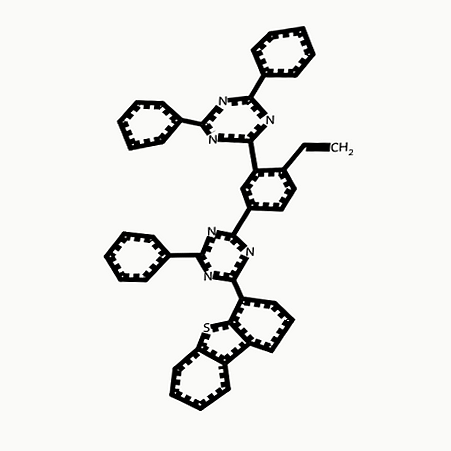 C=Cc1ccc(-c2nc(-c3ccccc3)nc(-c3cccc4c3sc3ccccc34)n2)cc1-c1nc(-c2ccccc2)nc(-c2ccccc2)n1